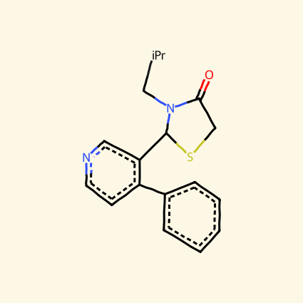 CC(C)CN1C(=O)CSC1c1cnccc1-c1ccccc1